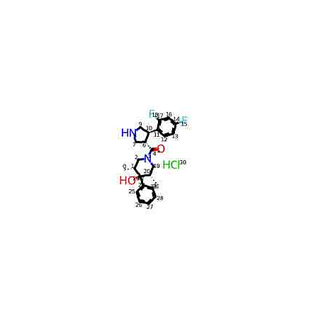 C[C@@H]1CN(C(=O)[C@@H]2CNC[C@H]2c2ccc(F)cc2F)C[C@H](C)C1(O)c1ccccc1.Cl